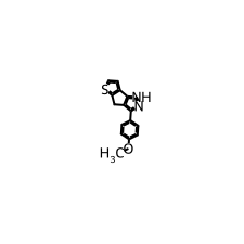 COc1ccc(-c2n[nH]c3c2Cc2sccc2-3)cc1